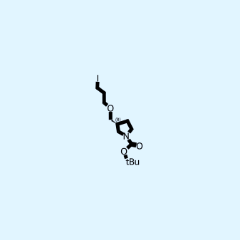 CC(C)(C)OC(=O)N1CC[C@@H](COCCCI)C1